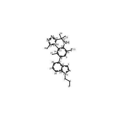 CCCn1ccc2c(-c3cc(F)c4c(c3C)-n3c(C)nnc3C(C)(C)N4)cccc21